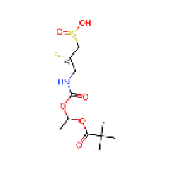 CC(OC(=O)NC[C@H](F)CS(=O)O)OC(=O)C(C)(C)C